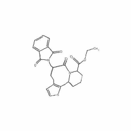 CCOC(=O)C1CCCC2c3sccc3CC(N3C(=O)c4ccccc4C3=O)C(=O)N12